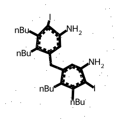 CCCCc1c(Cc2cc(N)c(I)c(CCCC)c2CCCC)cc(N)c(I)c1CCCC